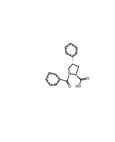 O=C(O)[C@@H]1C[C@@H](c2ccccc2)CN1C(=O)c1ccccc1